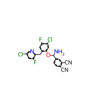 N#Cc1ccc(C(N)Oc2cc(Cl)c(F)cc2Cc2ncc(Cl)cc2F)cc1C#N